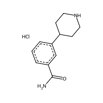 Cl.NC(=O)c1cccc(C2CCNCC2)c1